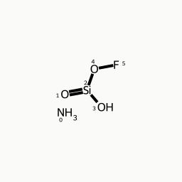 N.O=[Si](O)OF